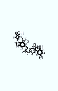 CC(CN1CCC2(CC1)C(=O)Nc1ccc(Cl)cc12)Oc1cc(C(F)(F)F)c2c(c1)ncn2C1CC(C)(O)C1